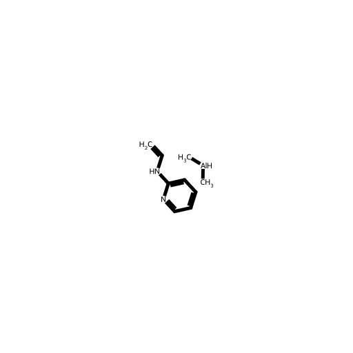 C=CNc1ccccn1.[CH3][AlH][CH3]